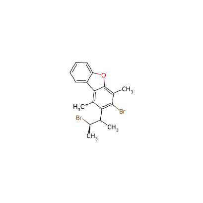 Cc1c(Br)c(C(C)[C@@H](C)Br)c(C)c2c1oc1ccccc12